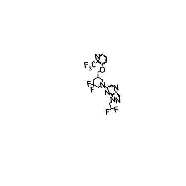 FC(F)Cn1ncc2ncc(N3CC(COc4cccnc4C(F)(F)F)CC(F)(F)C3)nc21